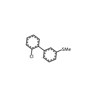 CSc1cc[c]c(-c2ccccc2Cl)c1